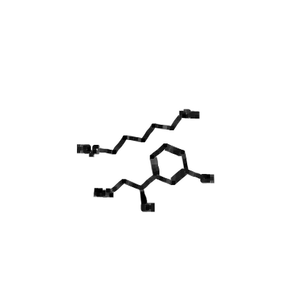 CCCCCCCCCCCCCCCC(=O)O.CNC[C@H](O)c1cccc(O)c1